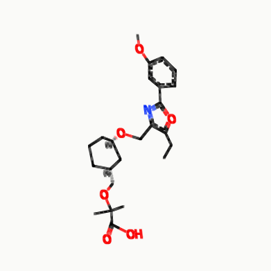 CCc1oc(-c2cccc(OC)c2)nc1CO[C@H]1CCC[C@@H](COC(C)(C)C(=O)O)C1